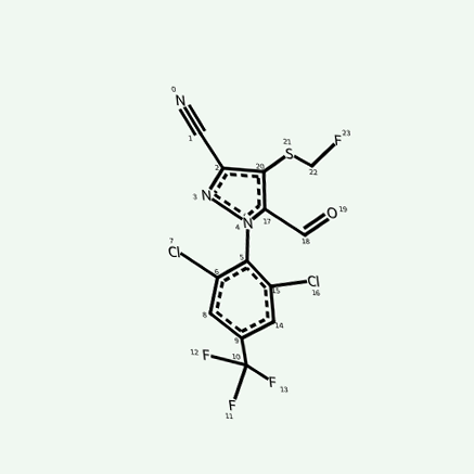 N#Cc1nn(-c2c(Cl)cc(C(F)(F)F)cc2Cl)c(C=O)c1SCF